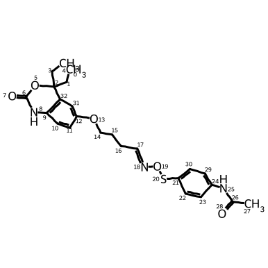 CCC1(CC)OC(=O)Nc2ccc(OCCCC=NOSc3ccc(NC(C)=O)cc3)cc21